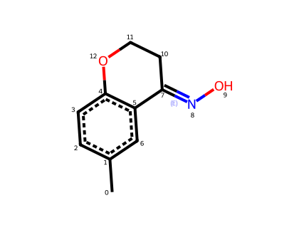 Cc1ccc2c(c1)/C(=N/O)CCO2